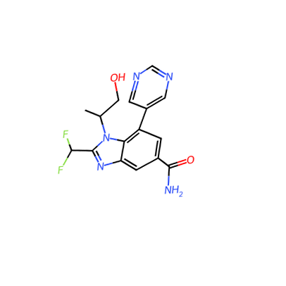 CC(CO)n1c(C(F)F)nc2cc(C(N)=O)cc(-c3cncnc3)c21